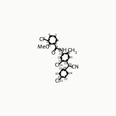 COc1c(Cl)cccc1C(=O)Nc1cc(Cl)c(C(C#N)c2ccc(Cl)cc2)cc1C